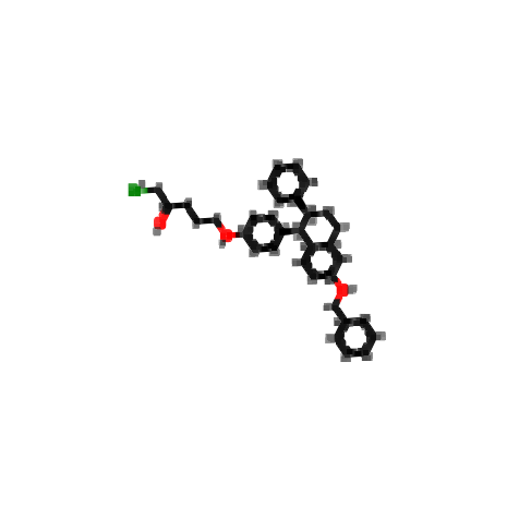 O=C(CBr)CCCOc1ccc([C@@H]2c3ccc(OCc4ccccc4)cc3CC[C@@H]2c2ccccc2)cc1